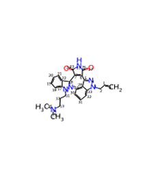 C=CCn1nc(C2=C(c3nn(CCCN(C)C)c4ccccc34)C(=O)NC2=O)c2ccccc21